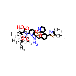 Cc1nc(-c2ccc(CC(N)(c3cccc(N(C(=O)OC(C)(C)C)C(C(=O)O)C(C)(C)C)n3)S(=O)(=O)c3ccccn3)cc2)sc1C